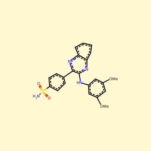 COc1cc(Nc2nc3ccccc3nc2-c2ccc(S(N)(=O)=O)cc2)cc(OC)c1